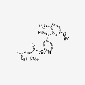 CN/C(=C\C(C)=N)C(=O)Nc1cc(C(=N)c2cc(OC(C)C)ccc2N)ccn1